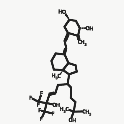 C=C1/C(=C\C=C2/CCC[C@@]3(C)C2CCC3C(C/C=C/C(O)(C(F)(F)F)C(F)(F)F)CCCC(C)(C)O)C[C@@H](O)C[C@@H]1O